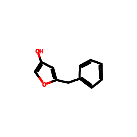 Oc1coc(Cc2ccccc2)c1